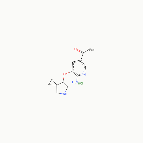 CNC(=O)c1cnc(N)c(OC2CNCC23CC3)c1.Cl